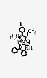 NC(=O)[C@@H](c1ccc(F)cc1)[C@@H](CCC(F)(F)F)C(=O)NC1N=C(c2ccccc2)c2ccccc2NC1=O